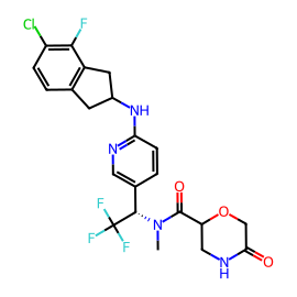 CN(C(=O)C1CNC(=O)CO1)[C@@H](c1ccc(NC2Cc3ccc(Cl)c(F)c3C2)nc1)C(F)(F)F